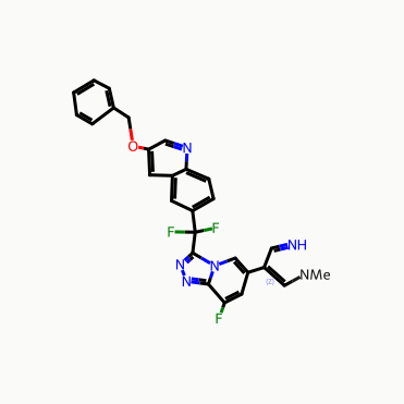 CN/C=C(\C=N)c1cc(F)c2nnc(C(F)(F)c3ccc4ncc(OCc5ccccc5)cc4c3)n2c1